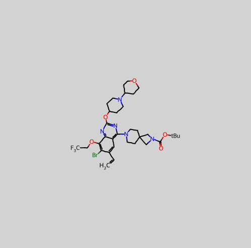 C=Cc1cc2c(N3CCC4(CC3)CN(C(=O)OC(C)(C)C)C4)nc(OC3CCN(C4CCOCC4)CC3)nc2c(OCC(F)(F)F)c1Br